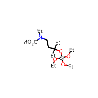 CCO[Si](OCC)(OCC)OC(CC)(CC)CCN(CC)C(=O)O